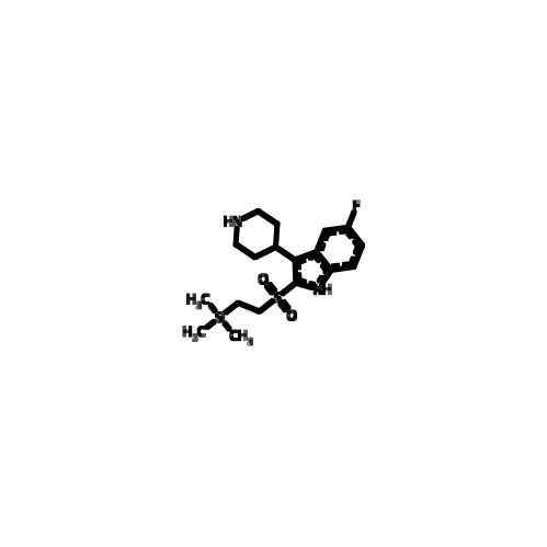 C[Si](C)(C)CCS(=O)(=O)c1[nH]c2ccc(F)cc2c1C1CCNCC1